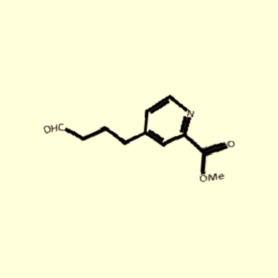 COC(=O)c1cc(CCCC=O)ccn1